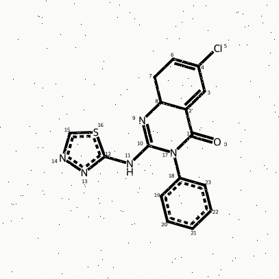 O=C1C2=CC(Cl)=CCC2N=C(Nc2nncs2)N1c1ccccc1